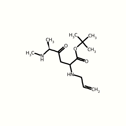 C=CCNC(CC(=O)[C@H](C)NC)C(=O)OC(C)(C)C